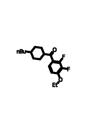 CCCCC1CCC(C(=O)c2ccc(OCC)c(F)c2F)CC1